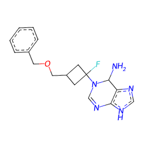 NC1c2nc[nH]c2N=CN1C1(F)CC(COCc2ccccc2)C1